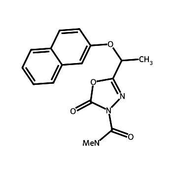 CNC(=O)n1nc(C(C)Oc2ccc3ccccc3c2)oc1=O